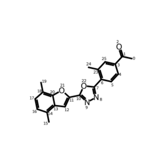 CC(=O)c1ccc(-c2nnc(-c3cc4c(C)ccc(C)c4o3)o2)c(C)c1